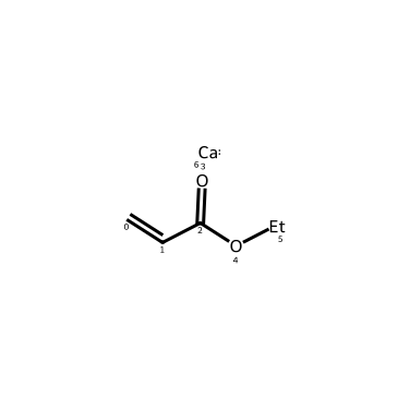 C=CC(=O)OCC.[Ca]